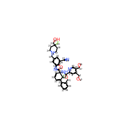 COCc1cc(C(=O)NC2(c3nc4cc(CN5CCC(F)(CO)CC5)cc(C#N)c4o3)C=CC=C(c3ccccc3C)C2Cl)ncc1C=O